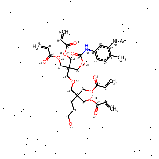 C=CC(=O)OCC(CCCO)(COCC(COC(=O)C=C)(COC(=O)C=C)COC(=O)Nc1ccc(C)c(NC(C)=O)c1)COC(=O)C=C